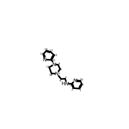 c1ccc(NCCN2CCN(c3ccccn3)CC2)nc1